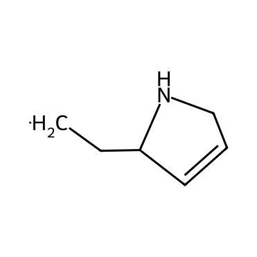 [CH2]CC1C=CCN1